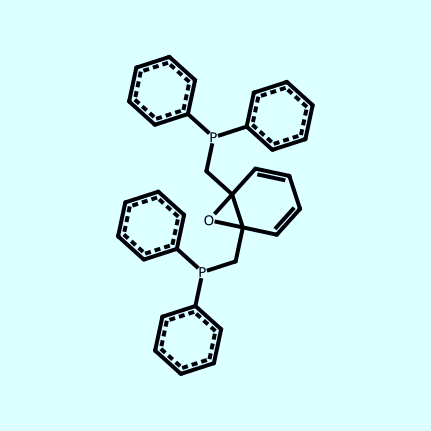 C1=CC2(CP(c3ccccc3)c3ccccc3)OC2(CP(c2ccccc2)c2ccccc2)C=C1